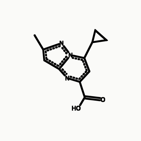 Cc1cc2nc(C(=O)O)cc(C3CC3)n2n1